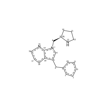 c1ccc(Cc2cn(C[C@H]3CCCN3)c3ncccc23)cc1